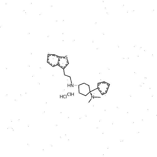 CN(C)[C@]1(c2ccccc2)CC[C@@H](NCCc2csc3ccccc23)CC1.Cl.Cl